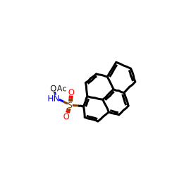 CC(=O)ONS(=O)(=O)c1ccc2ccc3cccc4ccc1c2c34